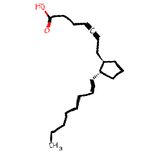 CCCCCCC=C[C@H]1CCC[C@@H]1CC=C=CCCC(=O)O